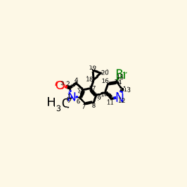 CN1C(=O)Cc2c1ccc(-c1cncc(Br)c1)c2C1CC1